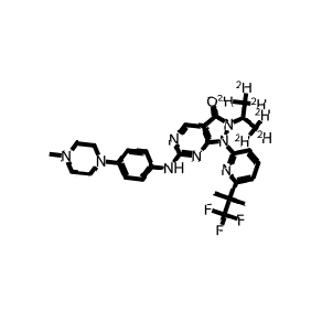 [2H]C([2H])([2H])C(n1c(=O)c2cnc(Nc3ccc(N4CCN(C)CC4)cc3)nc2n1-c1cccc(C(C)(C)C(F)(F)F)n1)C([2H])([2H])[2H]